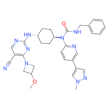 COC1CN(c2nc(N[C@H]3CC[C@H](N(C(=O)NCc4ccccc4)c4ccc(-c5cnn(C)c5)cn4)CC3)ncc2C#N)C1